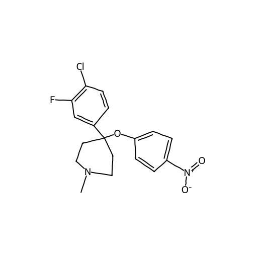 CN1CCC(Oc2ccc([N+](=O)[O-])cc2)(c2ccc(Cl)c(F)c2)CC1